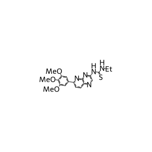 CCNC(=S)Nc1cnc2ccc(-c3cc(OC)c(OC)c(OC)c3)nc2n1